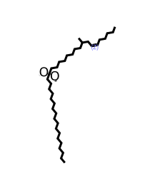 CCCCC/C=C\CC(C)CCCCCCCCC(CCCCCCCCCCCCCCCCCC)(OC)OC